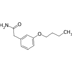 CCCCOc1cccc(CC(N)=O)c1